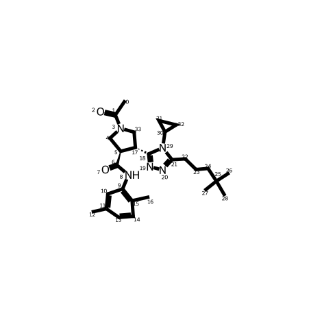 CC(=O)N1C[C@H](C(=O)Nc2cc(C)ccc2C)[C@@H](c2nnc(CCCC(C)(C)C)n2C2CC2)C1